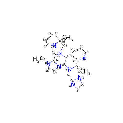 Cn1ccnc1CN(CCN(Cc1nccn1C)CC1(C)CC=CC=N1)Cc1ccccn1